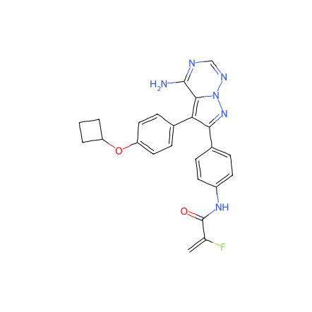 C=C(F)C(=O)Nc1ccc(-c2nn3ncnc(N)c3c2-c2ccc(OC3CCC3)cc2)cc1